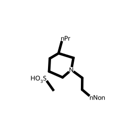 CCCCCCCCCCCN1CCCC(CCC)C1.CS(=O)(=O)O